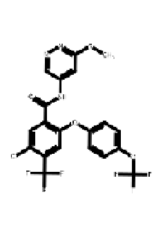 CSc1cc(NC(=O)c2cc(Cl)c(C(F)(F)F)cc2Oc2ccc(OC(F)(F)F)cc2)cnn1